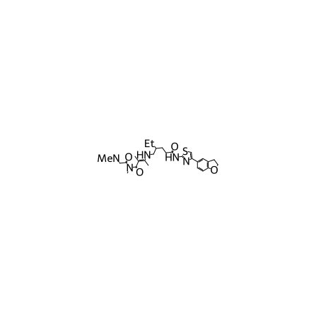 CCC(CCC(=O)Nc1nc(-c2ccc3c(c2)CCO3)cs1)CN/C(C)=C(\C)C(=O)N(C)C(=O)CNC